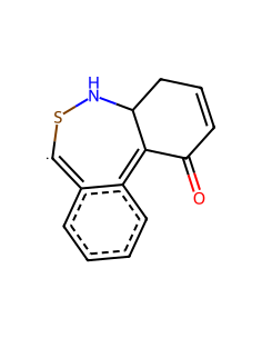 O=C1C=CCC2NS[C]=c3ccccc3=C12